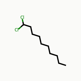 CCCCCCCCC[C](Cl)Cl